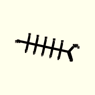 CCCC(F)(F)C(F)(F)C(F)(F)C(F)(F)C(F)(F)C(N)=O